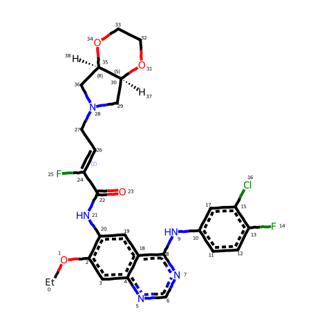 CCOc1cc2ncnc(Nc3ccc(F)c(Cl)c3)c2cc1NC(=O)/C(F)=C/CN1C[C@@H]2OCCO[C@@H]2C1